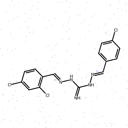 N=C(N/N=C/c1ccc(Cl)cc1)N/N=C/c1ccc(Cl)cc1Cl